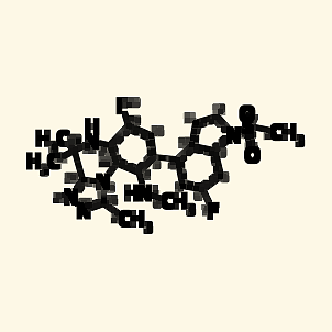 CNc1c(-c2cc(F)cc3c2ccn3S(C)(=O)=O)cc(F)c2c1-n1c(C)nnc1C(C)(C)N2